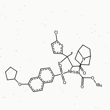 CC(C)(C)OC(=O)NC1CC2CCC(C1)N2C(=O)C(NS(=O)(=O)c1ccc2cc(OC3CCCC3)ccc2c1)C(F)(F)c1ccc(Cl)s1